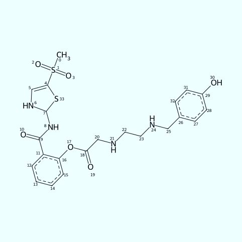 CS(=O)(=O)C1=CNC(NC(=O)c2ccccc2OC(=O)CNCCNCc2ccc(O)cc2)S1